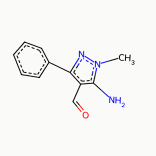 Cn1nc(-c2ccccc2)c(C=O)c1N